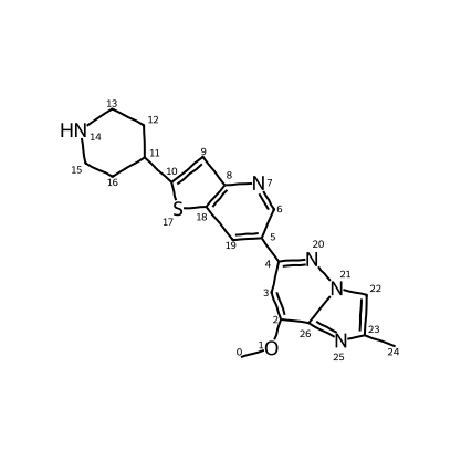 COc1cc(-c2cnc3cc(C4CCNCC4)sc3c2)nn2cc(C)nc12